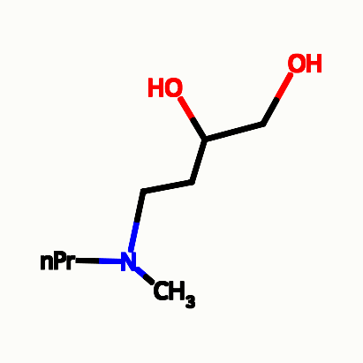 CCCN(C)CCC(O)CO